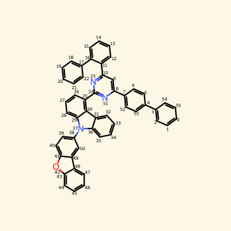 c1ccc(-c2ccc(-c3cc(-c4ccccc4-c4ccccc4)nc(-c4cccc5c4c4ccccc4n5-c4ccc5oc6ccccc6c5c4)n3)cc2)cc1